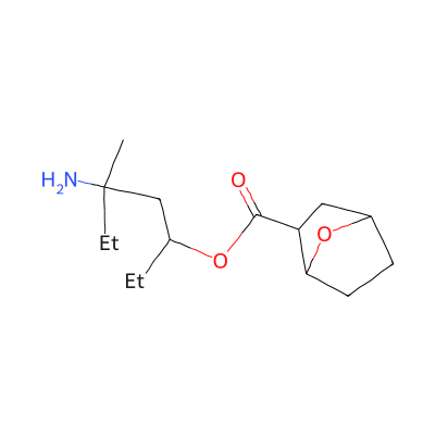 CCC(CC(C)(N)CC)OC(=O)C1CC2CCC1O2